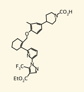 CCOC(=O)c1cnn(-c2cccc(C3=C(COc4ccc(C5CCN(C(=O)O)CC5)cc4C)CCCC3)n2)c1C(F)(F)F